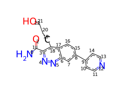 NC(=O)c1nnc2cc(-c3ccncc3)ccc2c1CCCO